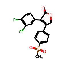 CS(=O)(=O)c1ccc(C2=C(c3ccc(F)c(Cl)c3)C(=O)OC2)cc1